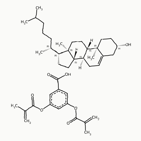 C=C(C)C(=O)Oc1cc(OC(=O)C(=C)C)cc(C(=O)O)c1.CC(C)CCC[C@@H](C)[C@H]1CC[C@H]2[C@@H]3CC=C4C[C@@H](O)CC[C@]4(C)[C@H]3CC[C@]12C